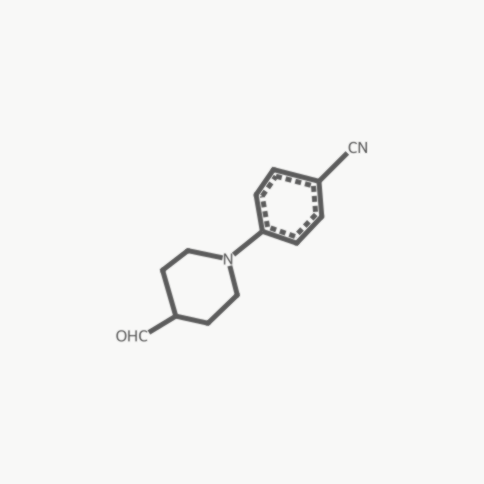 N#Cc1ccc(N2CCC(C=O)CC2)cc1